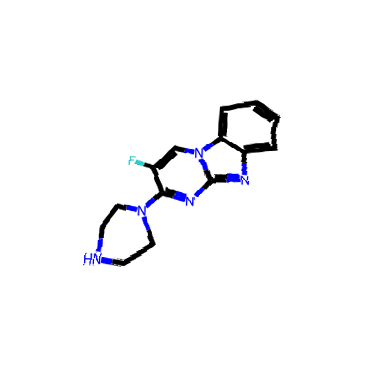 Fc1cn2c(nc1N1CCNCC1)nc1ccccc12